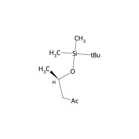 CC(=O)C[C@@H](C)O[Si](C)(C)C(C)(C)C